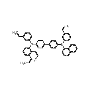 C=Cc1cccc(N(C2=CC=C(c3ccc(N(c4cccc(C=C)c4)c4cccc5ccccc45)cc3)CC2)c2cccc(/C=C\C)c2/C=C\C)c1